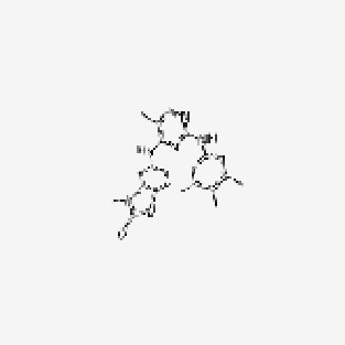 Cc1cnc(Nc2cc(C)c(C)c(C)c2)nc1Nc1ccc2oc(=O)n(C)c2c1